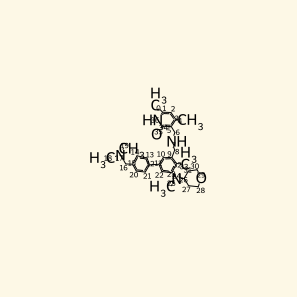 Cc1cc(C)c(CNCc2cc(-c3ccc(CN(C)C)cc3)cc(N(C)C3CCOCC3)c2C)c(=O)[nH]1